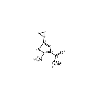 COC(=O)c1cc(C2CC2)sc1N